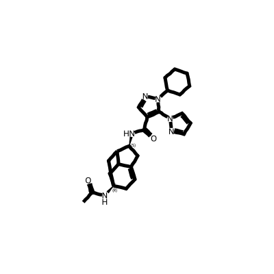 CC(=O)N[C@]12CC=C3C[C@H](NC(=O)c4cnn(C5CCCCC5)c4-n4cccn4)C(C1)C3C2